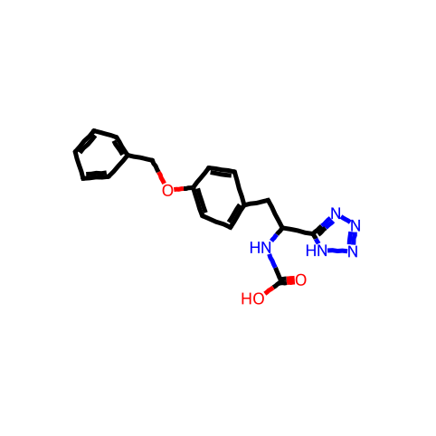 O=C(O)NC(Cc1ccc(OCc2ccccc2)cc1)c1nnn[nH]1